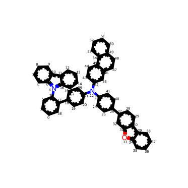 c1ccc(-n2c3ccccc3c3ccccc32)c(-c2ccc(N(c3ccc(-c4ccc5c(c4)oc4ccccc45)cc3)c3ccc4c(ccc5ccccc54)c3)cc2)c1